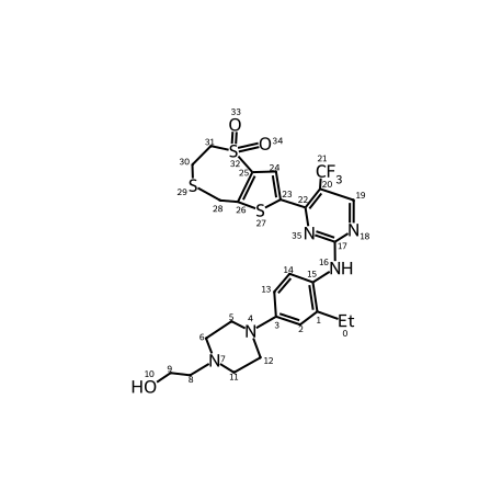 CCc1cc(N2CCN(CCO)CC2)ccc1Nc1ncc(C(F)(F)F)c(-c2cc3c(s2)CSCCS3(=O)=O)n1